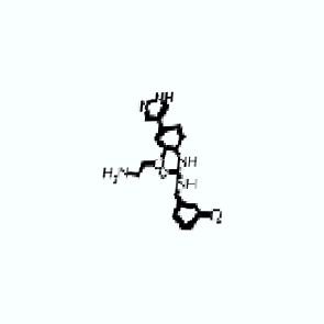 COc1cccc(CNC(=O)Nc2ccc(-c3cn[nH]c3)cc2OCCN)c1